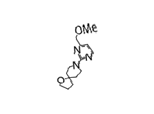 COCc1ccnc(N2CCC3(CCCO3)CC2)n1